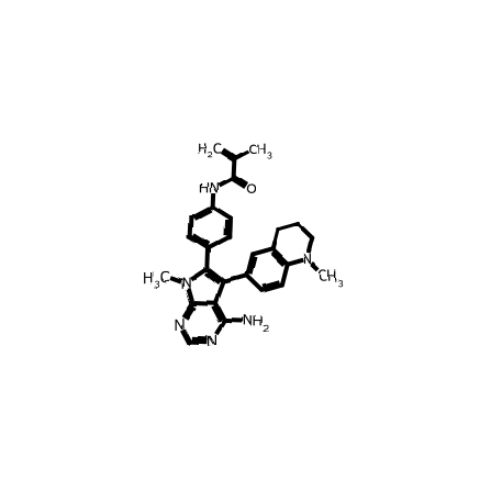 C=C(C)C(=O)Nc1ccc(-c2c(-c3ccc4c(c3)CCCN4C)c3c(N)ncnc3n2C)cc1